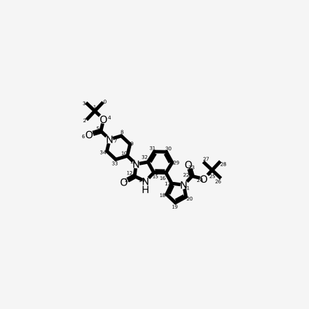 CC(C)(C)OC(=O)N1CCC(n2c(=O)[nH]c3c(-c4cccn4C(=O)OC(C)(C)C)cccc32)CC1